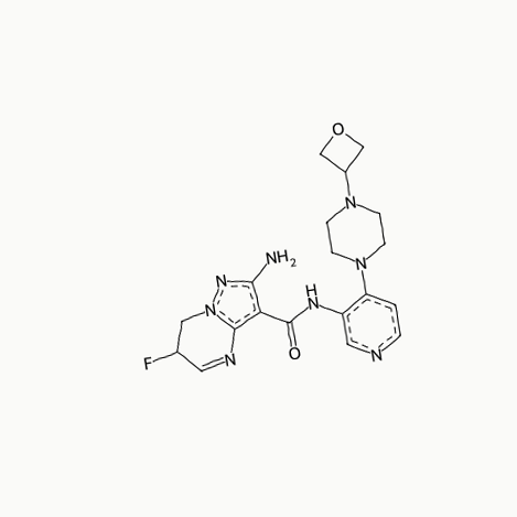 Nc1nn2c(c1C(=O)Nc1cnccc1N1CCN(C3COC3)CC1)N=CC(F)C2